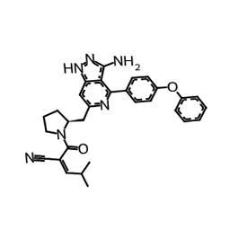 CC(C)/C=C(/C#N)C(=O)N1CCC[C@H]1Cc1cc2[nH]nc(N)c2c(-c2ccc(Oc3ccccc3)cc2)n1